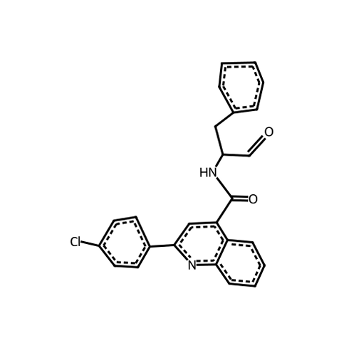 O=CC(Cc1ccccc1)NC(=O)c1cc(-c2ccc(Cl)cc2)nc2ccccc12